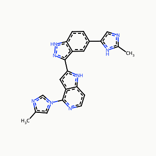 Cc1cn(-c2nccc3[nH]c(-c4n[nH]c5ccc(-c6cnc(C)[nH]6)cc45)cc23)cn1